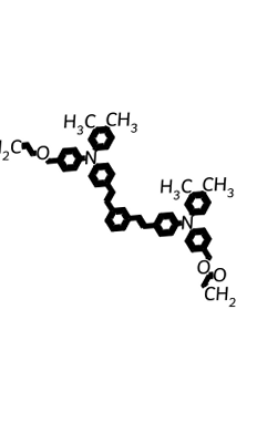 C=CCOCc1ccc(N(c2ccc(C=Cc3cccc(C=Cc4ccc(N(c5ccc(COC(=O)C=C)cc5)c5ccc(C)c(C)c5)cc4)c3)cc2)c2ccc(C)c(C)c2)cc1